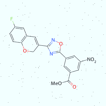 COC(=O)c1cc(-c2nc(C3=Cc4cc(F)ccc4OC3)no2)cc([N+](=O)[O-])c1